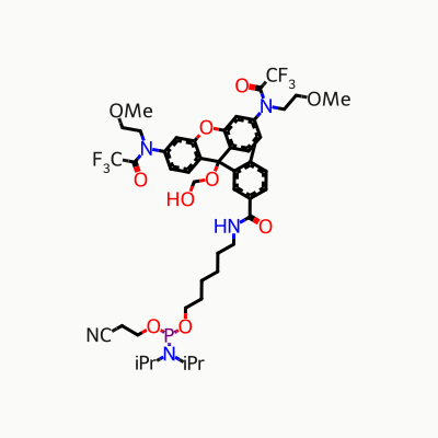 COCCN(C(=O)C(F)(F)F)c1ccc2c(c1)Oc1cc(N(CCOC)C(=O)C(F)(F)F)ccc1C2(OCO)c1cc(C(=O)NCCCCCCOP(OCCC#N)N(C(C)C)C(C)C)ccc1C